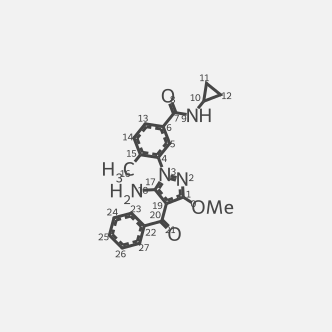 COc1nn(-c2cc(C(=O)NC3CC3)ccc2C)c(N)c1C(=O)c1ccccc1